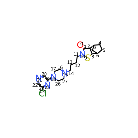 O=C1C2C3CCC(C3)C2SN1CCCCN1CCN(c2cncc(Cl)n2)CC1